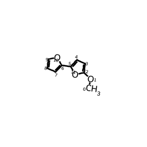 COc1ccc(-c2ccco2)o1